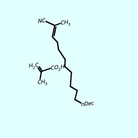 C=C(C)C(=O)O.CCCCCCCCCCCCCCCCCCC=C(C)C#N